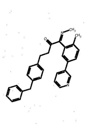 C/N=C(/C(=O)CCc1ccc(Cc2ccccc2)cc1)c1cc(-c2cccnc2)ccc1C